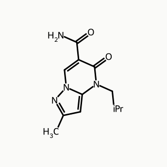 Cc1cc2n(CC(C)C)c(=O)c(C(N)=O)cn2n1